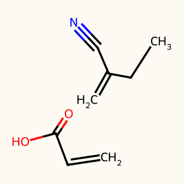 C=C(C#N)CC.C=CC(=O)O